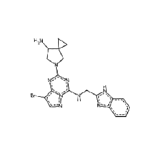 NC1CN(c2nc(NCc3nc4ccccc4[nH]3)n3ncc(Br)c3n2)CC12CC2